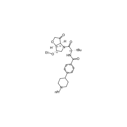 CCCN1CCC(c2ccc(C(=O)N[C@H](C(=O)N3C[C@H](OCC)[C@H]4OCC(=O)[C@H]43)C(C)(C)C)cc2)CC1